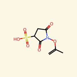 C=C(C)ON1C(=O)CC(S(=O)(=O)O)C1=O